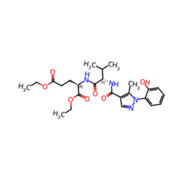 CCOC(=O)CC[C@@H](NC(=O)[C@@H](NC(=O)c1cnn(-c2ccccc2O)c1C)C(C)C)C(=O)OCC